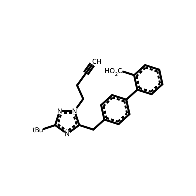 C#CCCn1nc(C(C)(C)C)nc1Cc1ccc(-c2ccccc2C(=O)O)cc1